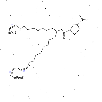 CCCCC/C=C\C/C=C\CCCCCCCCC(CCCCCCCC/C=C\CCCCCCCC)CC(=O)C1CCC(N(C)C)C1